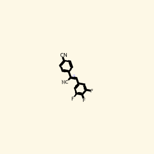 N#C/C(=C\c1cc(F)c(F)c(F)c1)c1ccc(C#N)cc1